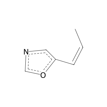 C/C=C\c1cnco1